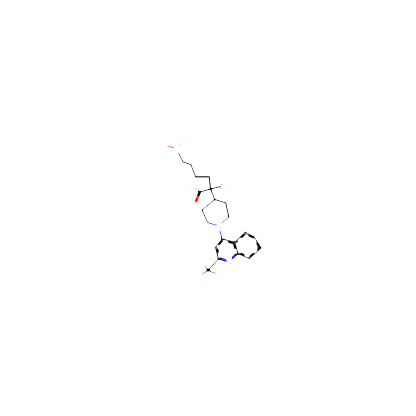 NC(CCCCB(O)O)(C(=O)O)C1CCN(c2cc(C(F)(F)F)nc3ccccc23)CC1